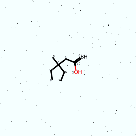 B=C(O)CC(C)(CC)CC